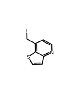 ICc1ccnc2ccsc12